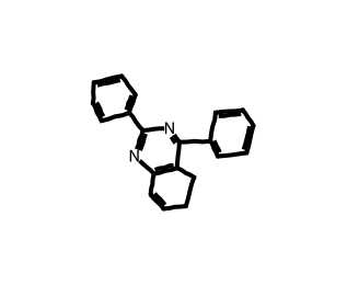 C1=Cc2nc(-c3ccccc3)nc(-c3ccccc3)c2CC1